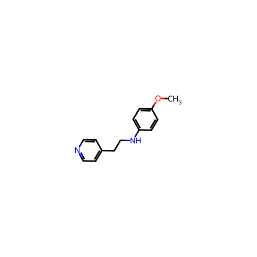 COc1ccc(NCCc2ccncc2)cc1